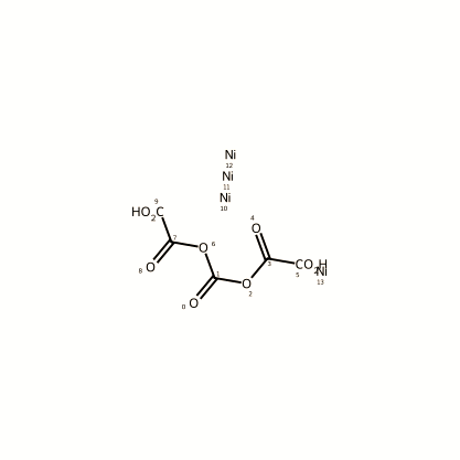 O=C(OC(=O)C(=O)O)OC(=O)C(=O)O.[Ni].[Ni].[Ni].[Ni]